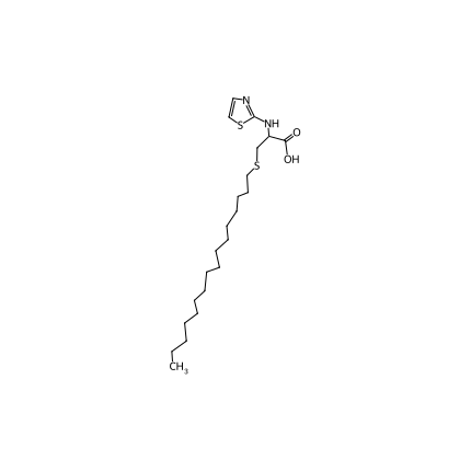 CCCCCCCCCCCCCCCCSCC(Nc1nccs1)C(=O)O